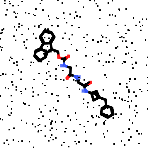 O=C(CNC(=O)OCC1c2ccccc2-c2ccccc21)NCC(=O)NC12CC(Cc3ccccc3)(C1)C2